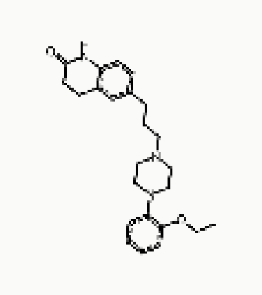 CCOc1ccccc1N1CCN(CCCc2ccc3c(c2)CCC(=O)N3)CC1